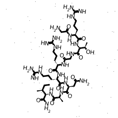 CC[C@H](C)[C@H](NC(=O)[C@H](C)NC(=O)[C@H](CC(N)=O)NC(=O)[C@H](CCCNC(=N)N)NC(=O)[C@H](CCCNC(=N)N)NC(=O)CNC(=O)[C@@H](NC(=O)[C@H](CCCNC(=N)N)NC(=O)CN)[C@@H](C)O)C(N)=O